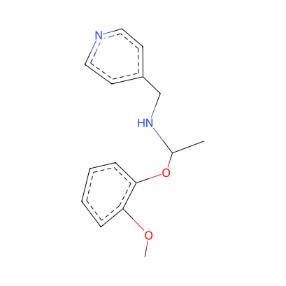 COc1ccccc1OC(C)NCc1ccncc1